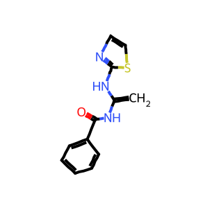 C=C(NC(=O)c1ccccc1)Nc1nccs1